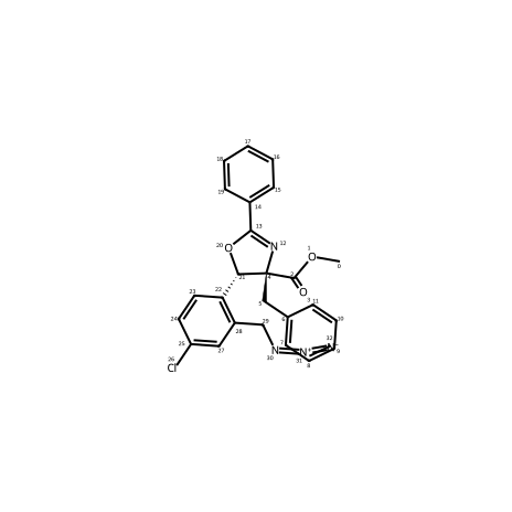 COC(=O)[C@@]1(Cc2ccccc2)N=C(c2ccccc2)O[C@H]1c1ccc(Cl)cc1CN=[N+]=[N-]